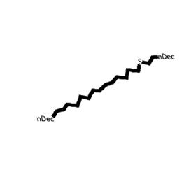 CCCCCCCCCCCCCCCCCCCCCCC[CH]SCCCCCCCCCCCC